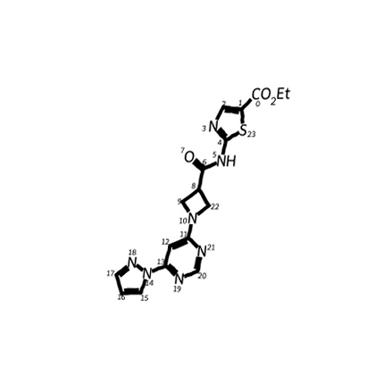 CCOC(=O)c1cnc(NC(=O)C2CN(c3cc(-n4cccn4)ncn3)C2)s1